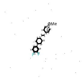 CO[Si@H]1CC[C@H](CC[C@H]2CC[C@H](c3ccc(F)c(F)c3)CC2)CC1